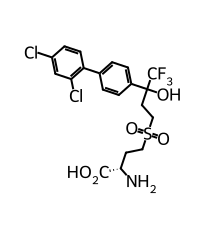 N[C@@H](CCS(=O)(=O)CCC(O)(c1ccc(-c2ccc(Cl)cc2Cl)cc1)C(F)(F)F)C(=O)O